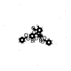 Cc1cccc2c1C(=O)OC21c2ccc(OC(=O)c3ccccc3)c(Br)c2Oc2c1ccc(OC(=O)c1ccccc1)c2Br